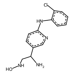 NC(CNO)c1ccc(Nc2ccccc2Cl)nc1